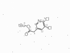 CC(C)(C)OC(=O)Cc1cnc(Cl)c(Cl)c1